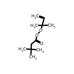 C=CC(C)(C)OOC(=O)CC(C)(C)C